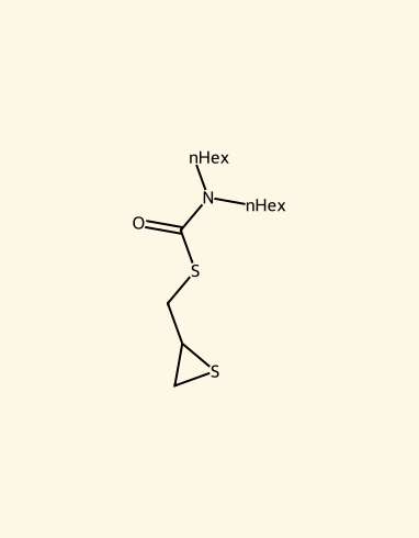 CCCCCCN(CCCCCC)C(=O)SCC1CS1